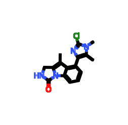 Cc1c2n(c3cccc(-c4nc(Cl)n(C)c4C)c13)C(=O)NC2